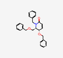 O=C1C=C[C@H](OCc2ccccc2)[C@@H](COCc2ccccc2)N1Cc1ccccc1